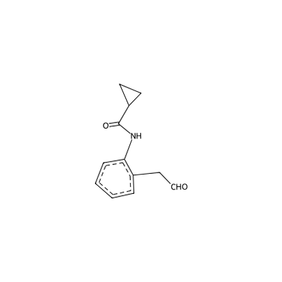 O=CCc1ccccc1NC(=O)C1CC1